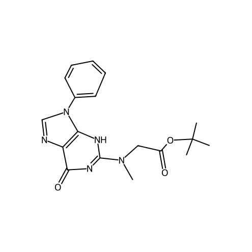 CN(CC(=O)OC(C)(C)C)c1nc(=O)c2ncn(-c3ccccc3)c2[nH]1